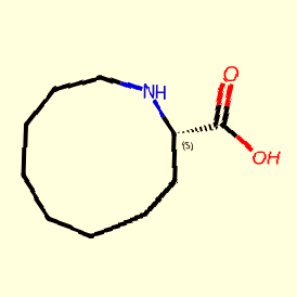 O=C(O)[C@@H]1CCCCCCCCN1